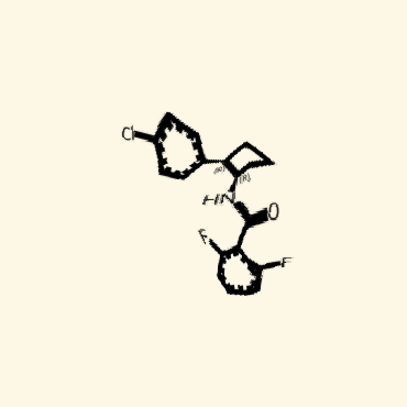 O=C(N[C@@H]1CC[C@@H]1c1ccc(Cl)cc1)c1c(F)cccc1F